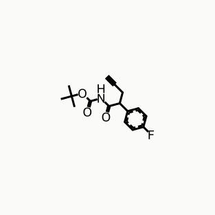 C#CCC(C(=O)NC(=O)OC(C)(C)C)c1ccc(F)cc1